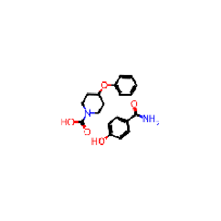 NC(=O)c1ccc(O)cc1.O=C(O)N1CCC(Oc2ccccc2)CC1